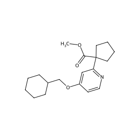 COC(=O)C1(c2cc(OCC3CCCCC3)ccn2)CCCC1